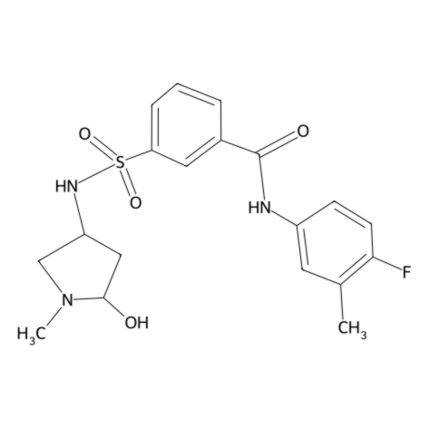 Cc1cc(NC(=O)c2cccc(S(=O)(=O)NC3CC(O)N(C)C3)c2)ccc1F